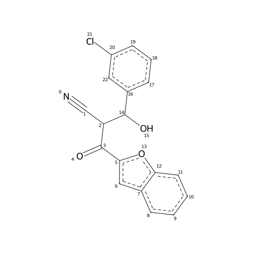 N#CC(C(=O)c1cc2ccccc2o1)C(O)c1cccc(Cl)c1